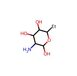 CCC1OC(O)C(N)C(O)C1O